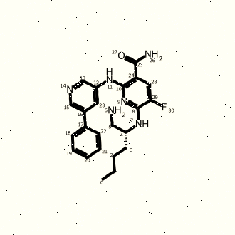 CCCC[C@H](CN)Nc1nc(Nc2cncc(-c3ccccc3)c2)c(C(N)=O)cc1F